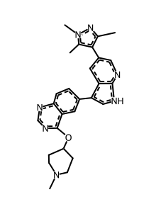 Cc1nn(C)c(C)c1-c1cnc2[nH]cc(-c3ccc4ncnc(OC5CCN(C)CC5)c4c3)c2c1